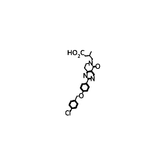 CC(CC(=O)O)CN1CCc2nc(-c3ccc(OCc4ccc(Cl)cc4)cc3)ncc2C1=O